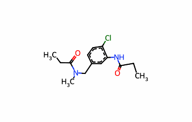 CCC(=O)Nc1cc(CN(C)C(=O)CC)ccc1Cl